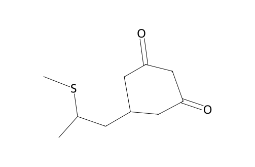 CSC(C)CC1CC(=O)CC(=O)C1